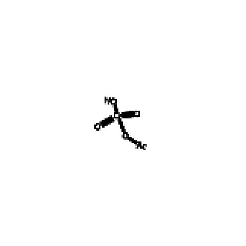 CC(=O)[O][Cr](=[O])(=[O])[OH]